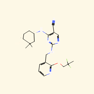 CC(F)(F)COc1ncccc1CNc1ncc(C#N)c(N[C@@H]2CC[C@@H](O)C(C)(C)C2)n1